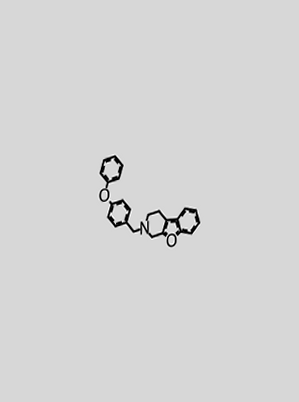 c1ccc(Oc2ccc(CN3CCc4c(oc5ccccc45)C3)cc2)cc1